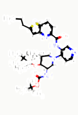 CCCc1cc2nc(C(=O)Nc3cnccc3N3C[C@H](C)C(O[Si](C)(C)C(C)(C)C)[C@H](NC(=O)OC(C)(C)C)C3)ccc2s1